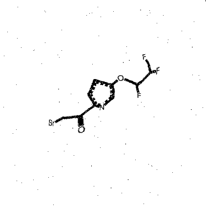 O=C(CBr)c1ccc(OC(F)C(F)F)cn1